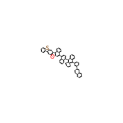 c1cc(-c2ccc3ccccc3c2)cc(-c2c3ccccc3c(-c3ccc(-c4cc5oc6cc7c(cc6c5c5ccccc45)sc4ccccc47)c4ccccc34)c3ccccc23)c1